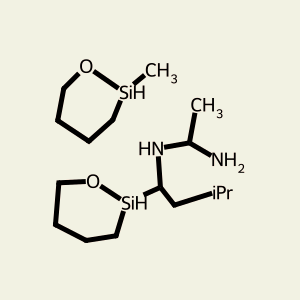 CC(C)CC(NC(C)N)[SiH]1CCCCO1.C[SiH]1CCCCO1